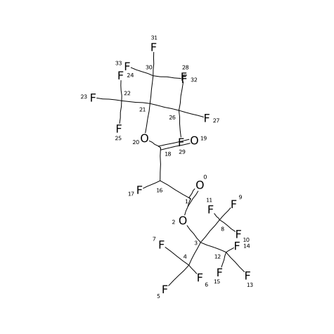 O=C(OC(C(F)(F)F)(C(F)(F)F)C(F)(F)F)C(F)C(=O)OC(C(F)(F)F)(C(F)(F)F)C(F)(F)F